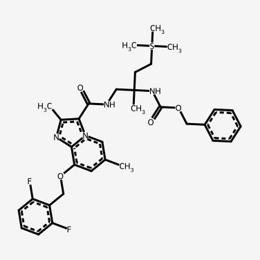 Cc1cc(OCc2c(F)cccc2F)c2nc(C)c(C(=O)NCC(C)(CCS(C)(C)C)NC(=O)OCc3ccccc3)n2c1